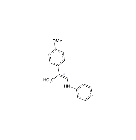 COc1ccc(/C(=C/Nc2ccccc2)C(=O)O)cc1